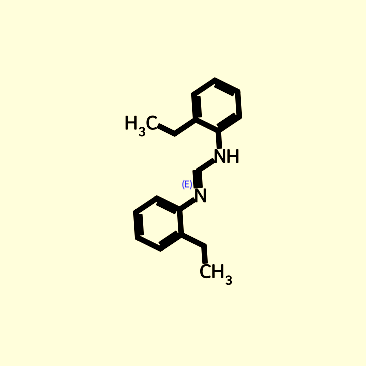 CCc1ccccc1/N=C/Nc1ccccc1CC